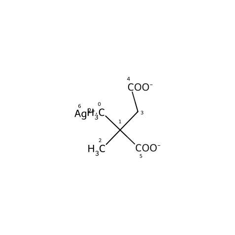 CC(C)(CC(=O)[O-])C(=O)[O-].[Ag+2]